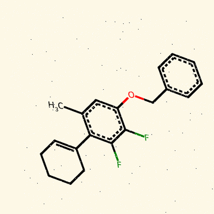 Cc1cc(OCc2ccccc2)c(F)c(F)c1C1=CCCCC1